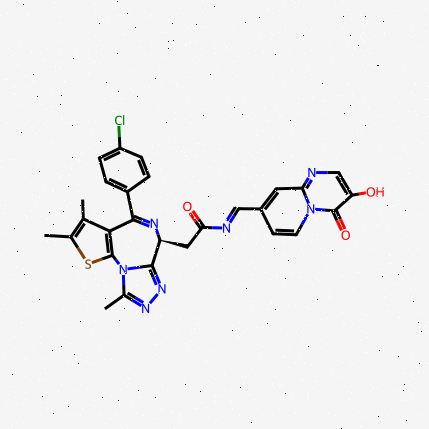 Cc1sc2c(c1C)C(c1ccc(Cl)cc1)=N[C@@H](CC(=O)/N=C/c1ccn3c(=O)c(O)cnc3c1)c1nnc(C)n1-2